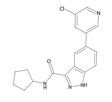 O=C(NC1CCCC1)c1n[nH]c2ccc(-c3cncc(Cl)c3)cc12